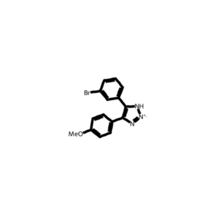 COc1ccc(C2=C(c3cccc(Br)c3)N[N+]=N2)cc1